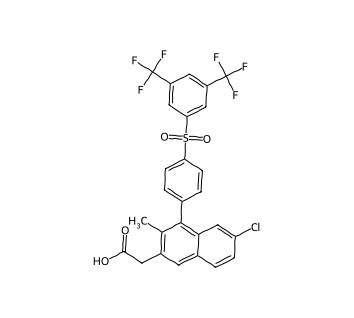 Cc1c(CC(=O)O)cc2ccc(Cl)cc2c1-c1ccc(S(=O)(=O)c2cc(C(F)(F)F)cc(C(F)(F)F)c2)cc1